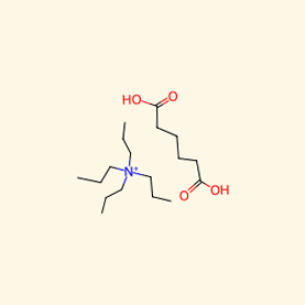 CCC[N+](CCC)(CCC)CCC.O=C(O)CCCCC(=O)O